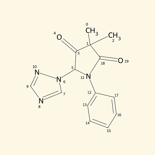 CC1(C)C(=O)C(n2cncn2)N(c2ccccc2)C1=O